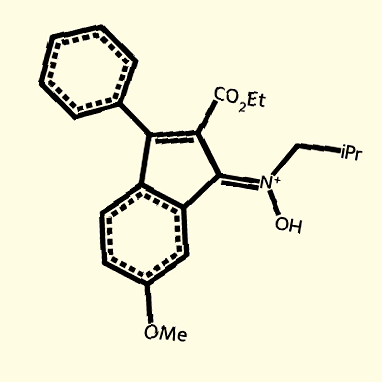 CCOC(=O)C1=C(c2ccccc2)c2ccc(OC)cc2/C1=[N+](\O)CC(C)C